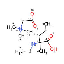 CCCC(C)(NCC)C(=O)O.C[N+](C)(C)CC(=O)[O-]